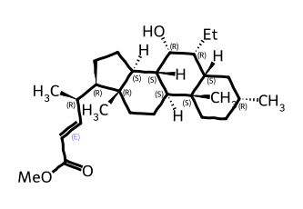 CC[C@H]1[C@@H](O)[C@@H]2[C@H](CC[C@]3(C)[C@@H]([C@H](C)/C=C/C(=O)OC)CC[C@@H]23)[C@@]2(C)CC[C@@H](C)C[C@@H]12